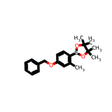 Cc1cc(OCc2ccccc2)ccc1B1OC(C)(C)C(C)(C)O1